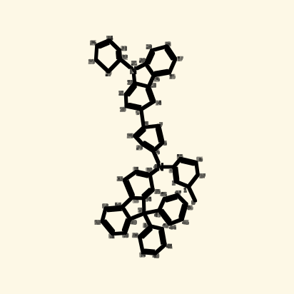 CC1C=C(N(c2ccc(-c3ccc4c(c3)c3ccccc3n4C3=CC=CCC3)cc2)c2ccc3c(c2)C(c2ccccc2)(c2ccccc2)c2ccccc2-3)C=CC1